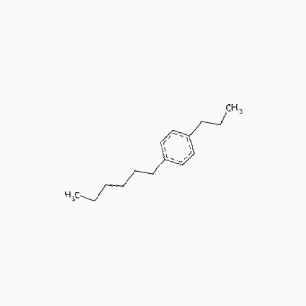 CCCCC[CH]c1ccc(CCC)cc1